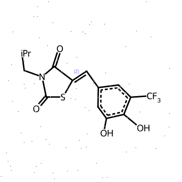 CC(C)CN1C(=O)S/C(=C\c2cc(O)c(O)c(C(F)(F)F)c2)C1=O